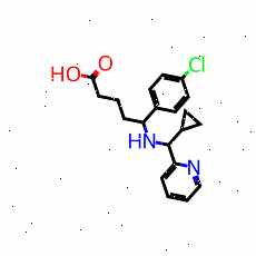 O=C(O)CCCC(NC(c1ccccn1)C1CC1)c1ccc(Cl)cc1